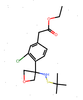 CCOC(=O)Cc1ccc(C2(NSC(C)(C)C)COC2)c(Cl)c1